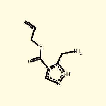 C=CCOC(=O)c1cn[nH]c1CN